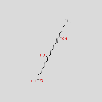 CCCCCC(O)C=CC=CC=CC(O)CC=CCCCC(=O)O